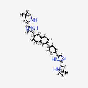 c1cc(-c2cnc([C@@H]3C[C@@H]4CC4N3)[nH]2)ccc1-c1ccc2cc(-c3cnc([C@@H]4C[C@@H]5CC5N4)[nH]3)ccc2c1